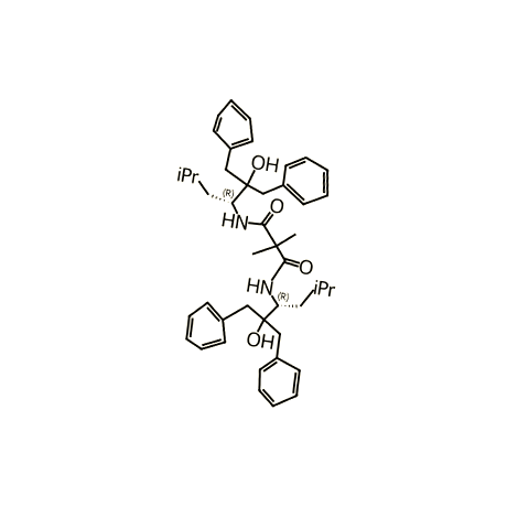 CC(C)C[C@@H](NC(=O)C(C)(C)C(=O)N[C@H](CC(C)C)C(O)(Cc1ccccc1)Cc1ccccc1)C(O)(Cc1ccccc1)Cc1ccccc1